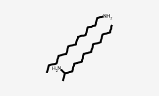 CCCCCCCCCCC(C)N.CCCCCCCCCCCCN